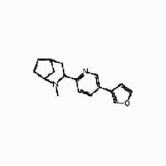 CN1C2CCC(C2)CC1c1ccc(-c2ccoc2)cn1